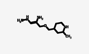 CC1CC(COC/C(N)=C/NN)CCN1